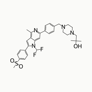 Cc1nc(-c2ccc(CN3CCN(CC(C)(C)O)CC3)cc2)cc2c1cc(-c1ccc(S(C)(=O)=O)cc1)n2C(F)F